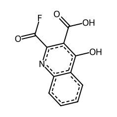 O=C(F)c1nc2ccccc2c(O)c1C(=O)O